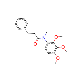 COc1ccc(N(C)C(=O)CCc2ccccc2)c(OC)c1OC